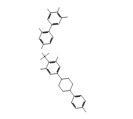 CCCCCc1ccc(C2CCC(c3cc(F)c(C(F)(F)Oc4ccc(-c5cc(F)c(F)c(F)c5)c(F)c4)c(F)c3)CC2)cc1